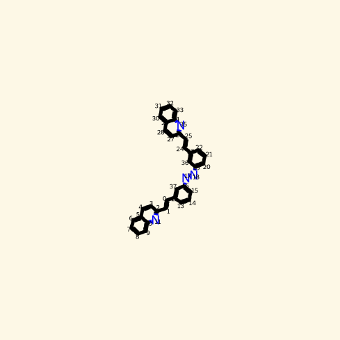 C(=C\c1ccc2ccccc2n1)/c1cccc(/N=N/c2cccc(/C=C/c3ccc4ccccc4n3)c2)c1